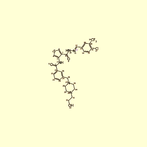 O=C(Nc1cscc1C(=O)N/N=C/c1ccc(Cl)c(C(F)(F)F)c1)c1cccc(CN2CCN(CCO)CC2)c1